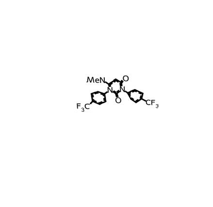 CNc1cc(=O)n(-c2ccc(C(F)(F)F)cc2)c(=O)n1-c1ccc(C(F)(F)F)cc1